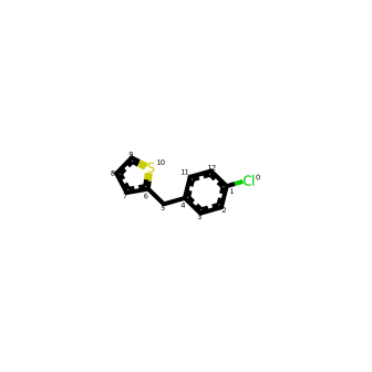 Clc1ccc(Cc2cccs2)cc1